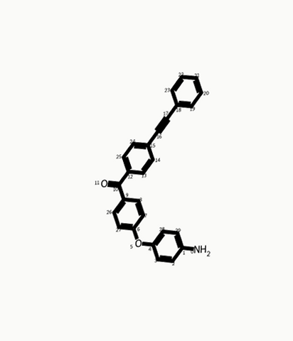 Nc1ccc(Oc2ccc(C(=O)c3ccc(C#Cc4ccccc4)cc3)cc2)cc1